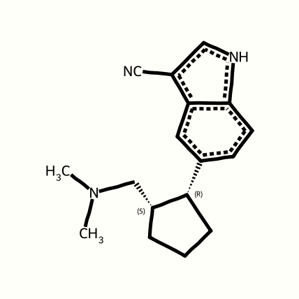 CN(C)C[C@H]1CCC[C@H]1c1ccc2[nH]cc(C#N)c2c1